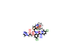 CN(Cc1csc(C(=O)Nc2c(OCC(O)Cn3ccnc3)cc(Cl)cc2C(=O)Nc2ccc(Cl)cn2)c1Cl)S(C)(=O)=O